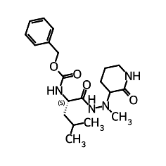 CC(C)C[C@H](NC(=O)OCc1ccccc1)C(=O)NN(C)C1CCCNC1=O